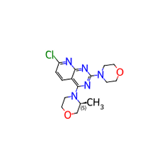 C[C@H]1COCCN1c1nc(N2CCOCC2)nc2nc(Cl)ccc12